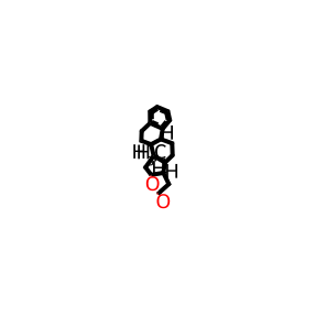 C[C@]12CC[C@@H]3c4ccccc4CC[C@H]3[C@@H]1CC1OC(=O)C[C@@H]12